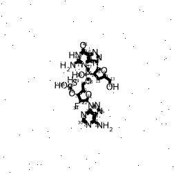 Nc1nc2c(nnn2[C@@H]2OC(CO)C[C@H]2P(O)(=S)OCC2O[C@@H](n3nnc4c(N)ncnc43)[C@@H](F)[C@@H]2O[PH](O)=S)c(=O)[nH]1